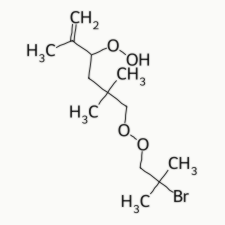 C=C(C)C(CC(C)(C)COOCC(C)(C)Br)OO